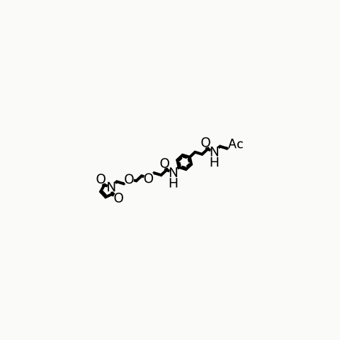 CC(=O)CCNC(=O)CCc1ccc(NC(=O)CCOCCOCCN2C(=O)C=CC2=O)cc1